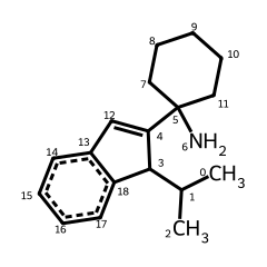 CC(C)C1C(C2(N)CCCCC2)=Cc2ccccc21